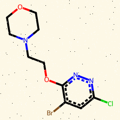 Clc1cc(Br)c(OCCN2CCOCC2)nn1